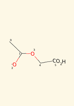 CC([O])OCC(=O)O